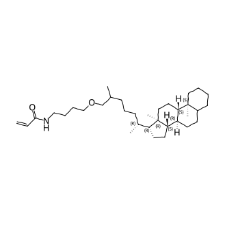 C=CC(=O)NCCCCOCC(C)CCC[C@@H](C)[C@H]1CC[C@H]2[C@@H]3CCC4CCCC[C@]4(C)[C@H]3CC[C@]12C